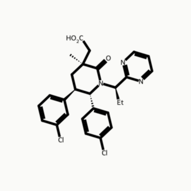 CC[C@H](c1ncccn1)N1C(=O)[C@](C)(CC(=O)O)C[C@H](c2cccc(Cl)c2)[C@H]1c1ccc(Cl)cc1